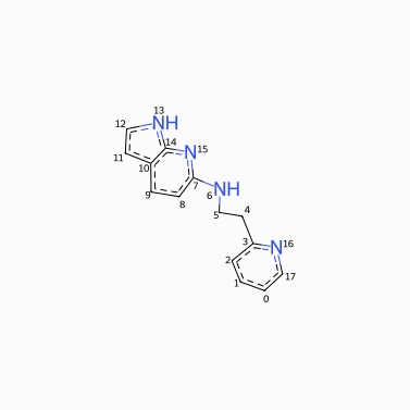 c1ccc(CCNc2ccc3cc[nH]c3n2)nc1